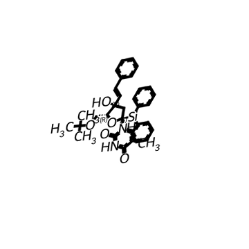 Cc1cn([C@@]2([SiH](c3ccccc3)c3ccccc3)C[C@@](O)(C=Cc3ccccc3)[C@@H](COC(C)(C)C)O2)c(=O)[nH]c1=O